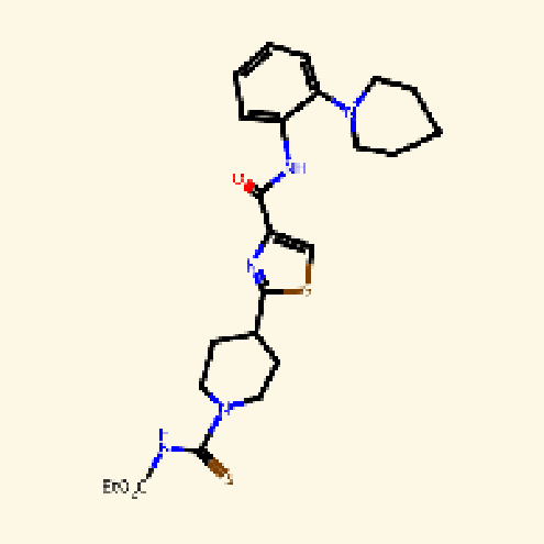 CCOC(=O)NC(=S)N1CCC(c2nc(C(=O)Nc3ccccc3N3CCCCC3)cs2)CC1